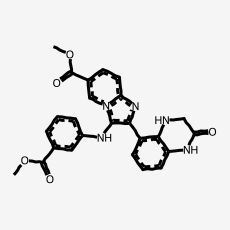 COC(=O)c1cccc(Nc2c(-c3cccc4c3NCC(=O)N4)nc3ccc(C(=O)OC)cn23)c1